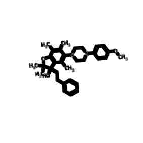 COc1ccc(N2CCN(c3c(C)c(C)c4c(c3C)C(O)(CCc3ccccc3)C(C)(C)O4)CC2)cc1